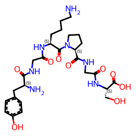 NCCCC[C@H](NC(=O)CNC(=O)[C@@H](N)Cc1ccc(O)cc1)C(=O)N1CCC[C@H]1C(=O)NCC(=O)N[C@@H](CO)C(=O)O